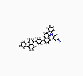 C=C(/C=C\C=N)n1c2ccccc2c2ccc3c(-c4ccc(-c5ccc6c7c(cccc57)-c5ccccc5-6)cc4)cccc3c21